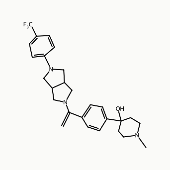 C=C(c1ccc(C2(O)CCN(C)CC2)cc1)N1CC2CN(c3ccc(C(F)(F)F)cc3)CC2C1